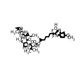 CC[C@@H]1CCN(C(=O)[C@@H](NC(=O)OC2CC2CCCCC(F)(F)c2nc3ccc(OC)cc3nc2O)C(C)(C)C)[C@@H]1C(=O)NC1(C(=O)NS(=O)(=O)C2(C)CC2)C[C@H]1CC